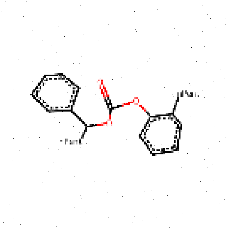 CCCCCc1ccccc1OC(=O)OC(CCCCC)c1ccccc1